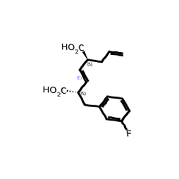 C=CC[C@@H](/C=C/[C@H](Cc1cccc(F)c1)C(=O)O)C(=O)O